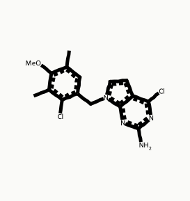 COc1c(C)cc(Cn2ccc3c(Cl)nc(N)nc32)c(Cl)c1C